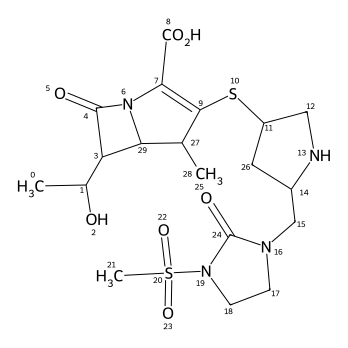 CC(O)C1C(=O)N2C(C(=O)O)=C(SC3CNC(CN4CCN(S(C)(=O)=O)C4=O)C3)C(C)C12